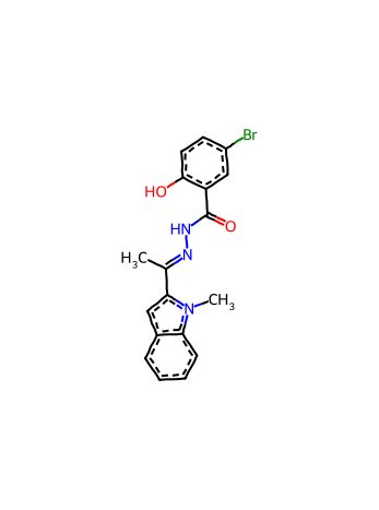 C/C(=N\NC(=O)c1cc(Br)ccc1O)c1cc2ccccc2n1C